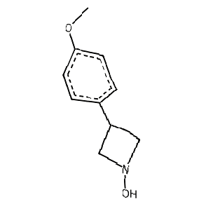 COc1ccc(C2CN(O)C2)cc1